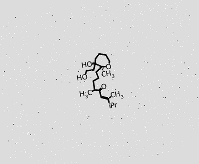 CC(=CC(=O)C(C)CCC[C@]1(C)OCCCC[C@@]1(O)CCO)C(C)C